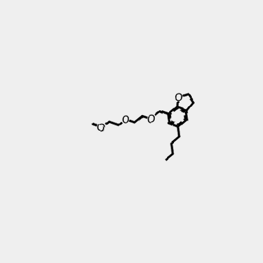 CCCCc1cc2c(c(COCCOCCOC)c1)OCC2